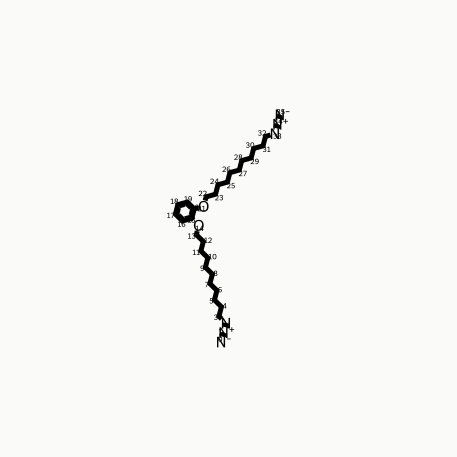 [N-]=[N+]=NCCCCCCCCCCCOc1ccccc1OCCCCCCCCCCCN=[N+]=[N-]